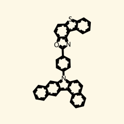 c1ccc2cc3c(cc2c1)c1c2ccccc2ccc1n3-c1ccc(-c2nc3c(ccc4sc5ccccc5c43)o2)cc1